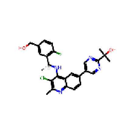 Cc1nc2ccc(-c3cnc(C(C)(C)O)nc3)cc2c(N[C@H](C)c2cc(CO)ccc2F)c1Cl